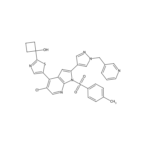 Cc1ccc(S(=O)(=O)n2c(-c3cnn(Cc4cccnc4)c3)cc3c(-c4cnc(C5(O)CCC5)s4)c(Cl)cnc32)cc1